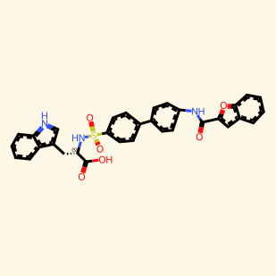 O=C(Nc1ccc(-c2ccc(S(=O)(=O)N[C@@H](Cc3c[nH]c4ccccc34)C(=O)O)cc2)cc1)c1cc2ccccc2o1